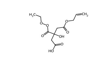 C=CCOC(=O)CC(O)(CC(=O)O)C(=O)OOCC